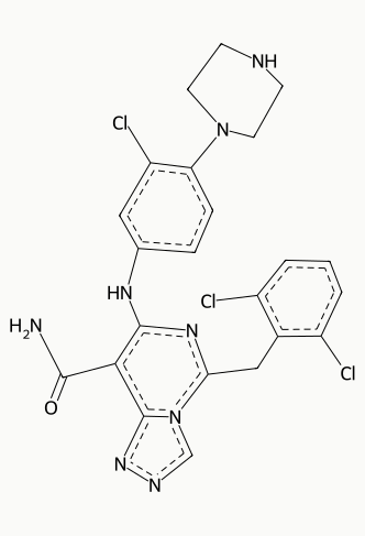 NC(=O)c1c(Nc2ccc(N3CCNCC3)c(Cl)c2)nc(Cc2c(Cl)cccc2Cl)n2cnnc12